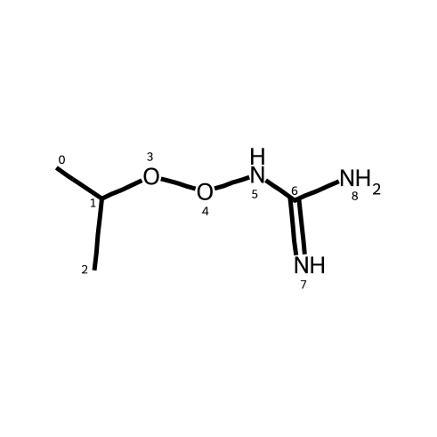 CC(C)OONC(=N)N